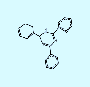 C1=CCCC(C2N=C(c3ccccc3)N=C(c3ccccc3)N2)=C1